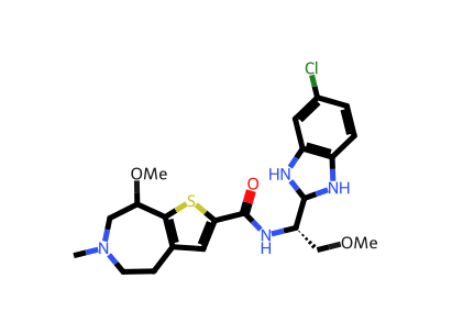 COC[C@H](NC(=O)c1cc2c(s1)C(OC)CN(C)CC2)C1Nc2ccc(Cl)cc2N1